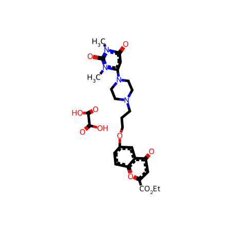 CCOC(=O)c1cc(=O)c2cc(OCCCN3CCN(c4cc(=O)n(C)c(=O)n4C)CC3)ccc2o1.O=C(O)C(=O)O